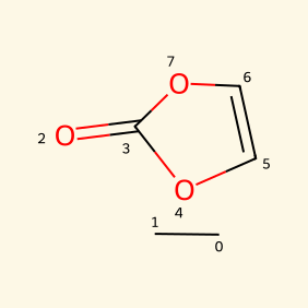 CC.O=c1occo1